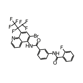 O=C(Nc1c(Br)cc(C(F)(C(F)(F)F)C(F)(F)F)c2ncccc12)c1cccc(NC(=O)c2ccccc2F)c1